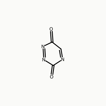 O=C1C=NC(=O)N=N1